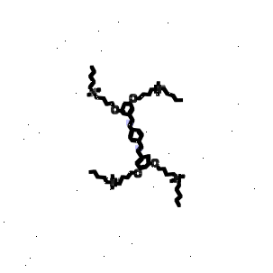 CCCCC[N+](C)(C)CCCCOc1cc(/C=C/c2ccc(/C=C/c3cc(OCCCC[N+](C)(C)CCCCC)cc(OCCCC[N+](C)(C)CCCCC)c3)cc2)cc(OCCCC[N+](C)(C)CCCCC)c1